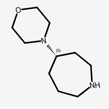 C1CNCC[C@@H](N2CCOCC2)C1